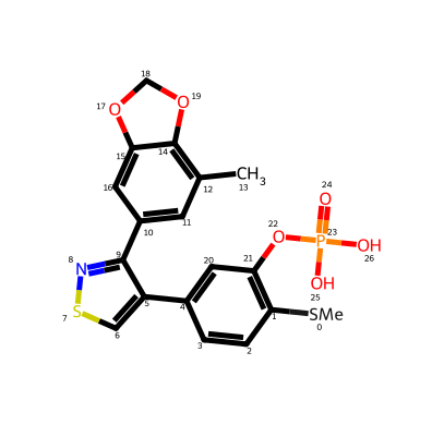 CSc1ccc(-c2csnc2-c2cc(C)c3c(c2)OCO3)cc1OP(=O)(O)O